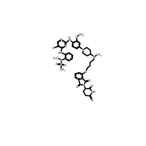 COc1cc(N2CCC(N(C)CCCCOc3cccc4c3C(=O)N(C3CCC(=O)NC3=O)C4=O)CC2)ccc1Nc1ncc(Cl)c(Nc2ccccc2N(C)S(C)(=O)=O)n1